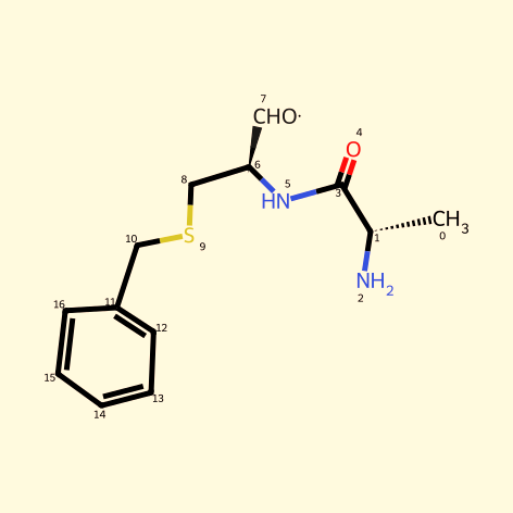 C[C@H](N)C(=O)N[C@H]([C]=O)CSCc1ccccc1